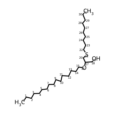 CCCCCCCCCCCCCCCCOC(CO)CSCCCCCCCCCC